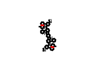 Cc1ccc(N(c2ccc([Si](C)(C)C)cc2-c2ccccc2)c2ccc3c4cc5c(cc4n4c6ccccc6c2c34)c2ccc(N(c3ccc(C)cc3)c3ccc([Si](C)(C)C)cc3-c3ccccc3)c3c4ccccc4n5c23)cc1